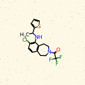 CC(Nc1c(Cl)ccc2c1CCN(C(=O)C(F)(F)F)CC2)c1cccs1